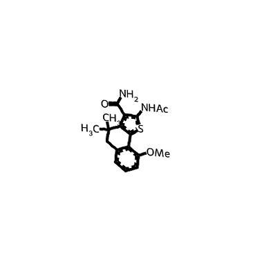 COc1cccc2c1-c1sc(NC(C)=O)c(C(N)=O)c1C(C)(C)C2